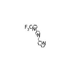 FC(F)(F)c1cccc(C2=CCN(CCc3ccc4cccnc4c3)CC2)n1